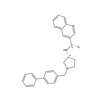 [O-][S@+](N[C@@H]1CCN(Cc2ccc(-c3ccccc3)cc2)C1)c1cnc2ccccc2c1